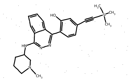 CN1CCCC(Nc2nnc(-c3ccc(C#C[Si](C)(C)C)cc3O)c3ccccc23)C1